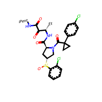 CCCC(C)NC(=O)C(=O)[C@H](CC)NC(=O)[C@@H]1C[C@@H]([S+]([O-])c2ccccc2Cl)CN1C(=O)C1(c2ccc(Cl)cc2)CC1